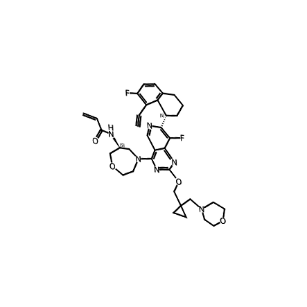 C#Cc1c(F)ccc2c1[C@@H](c1ncc3c(N4CCOC[C@@H](NC(=O)C=C)C4)nc(OCC4(CN5CCOCC5)CC4)nc3c1F)CCC2